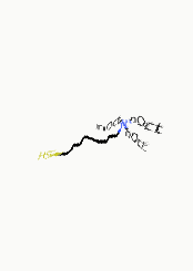 CCCCCCCC[N+](CCCCCCCC)(CCCCCCCC)CCCCCCCS